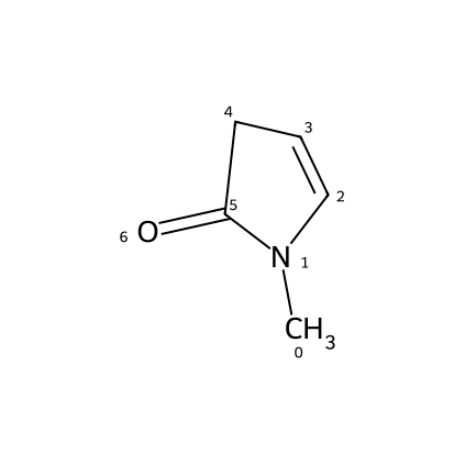 CN1C=CCC1=O